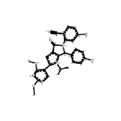 COc1ncc(-c2cc3c(n2C(C)C)C(c2ccc(Cl)cc2)N(c2cc(Cl)ccc2C#N)C3=O)c(OC)n1